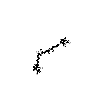 O=C1N[C@H]2[C@H](CS[C@H]2CCCCC(=O)OC(=O)CCC(=O)OC(=O)CCCC[C@@H]2SC[C@@H]3NC(=O)N[C@@H]32)N1